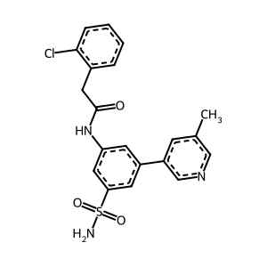 Cc1cncc(-c2cc(NC(=O)Cc3ccccc3Cl)cc(S(N)(=O)=O)c2)c1